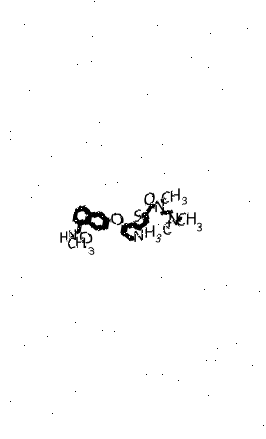 CNC(=O)c1cccc2cc(Oc3ccnc4cc(C(=O)N(C)CCN(C)C)sc34)ccc12